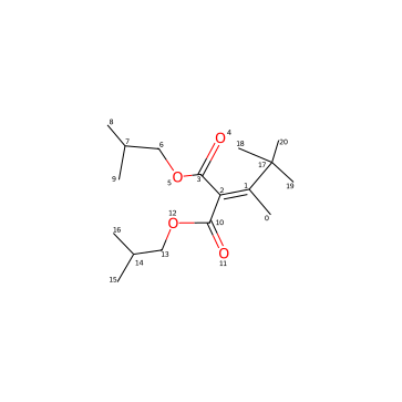 CC(=C(C(=O)OCC(C)C)C(=O)OCC(C)C)C(C)(C)C